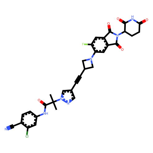 CC(C)(C(=O)Nc1ccc(C#N)c(Cl)c1)n1cc(C#CC2CN(c3cc4c(cc3F)C(=O)N(C3CCC(=O)NC3=O)C4=O)C2)cn1